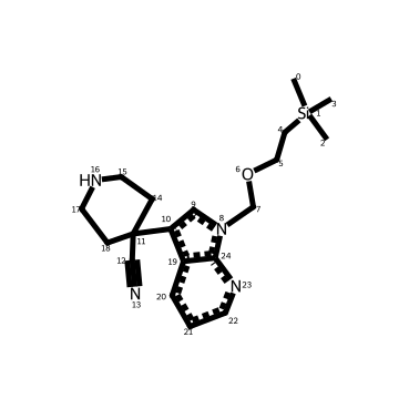 C[Si](C)(C)CCOCn1cc(C2(C#N)CCNCC2)c2cccnc21